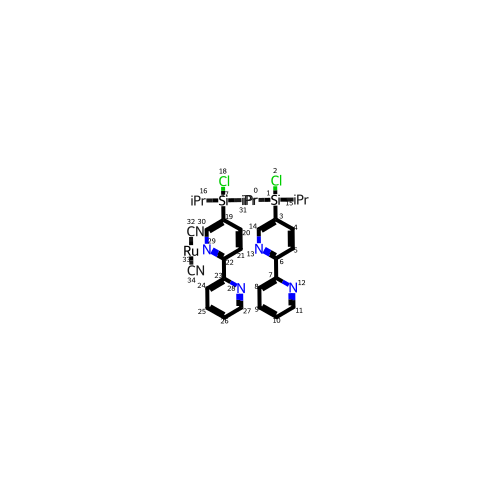 CC(C)[Si](Cl)(c1ccc(-c2ccccn2)nc1)C(C)C.CC(C)[Si](Cl)(c1ccc(-c2ccccn2)nc1)C(C)C.N#[C][Ru][C]#N